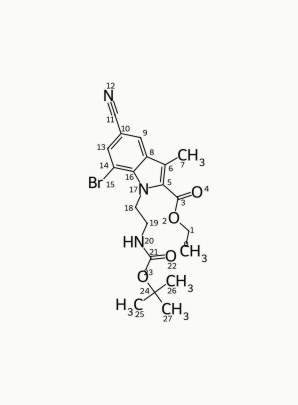 CCOC(=O)c1c(C)c2cc(C#N)cc(Br)c2n1CCNC(=O)OC(C)(C)C